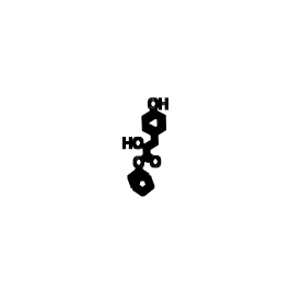 O=C(OC1=C2CCC(C2)C1)[C@@H](O)Cc1ccc(O)cc1